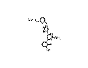 COCc1cccc(Cn2cc(-c3cc(-c4cccc(C#N)c4F)nc(N)n3)nn2)n1